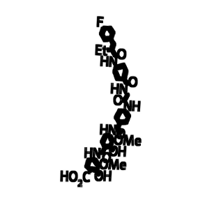 CC/C(=C\c1ccc(F)cc1)C(=O)Nc1ccc(C(=O)NCC(=O)Nc2ccc(C(=O)Nc3ccc(C(=O)Nc4ccc(C(=O)O)c(O)c4OC)c(O)c3OC)cc2)cc1